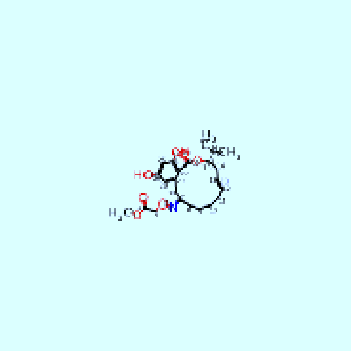 COC(=O)CON=C1CCCC/C=C/C[C@@H](C(C)C)OC(=O)c2c(O)cc(O)cc2C1